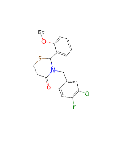 CCOc1ccccc1C1SCCC(=O)N1Cc1ccc(F)c(Cl)c1